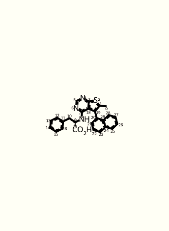 Cc1sc2ncnc(N[C@H](Cc3ccccc3)C(=O)O)c2c1-c1cccc2ccccc12